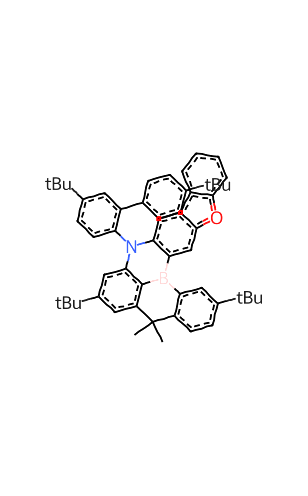 CC(C)(C)c1ccc(-c2cc(C(C)(C)C)ccc2N2c3cc4c(cc3B3c5cc(C(C)(C)C)ccc5C(C)(C)c5cc(C(C)(C)C)cc2c53)oc2ccccc24)cc1